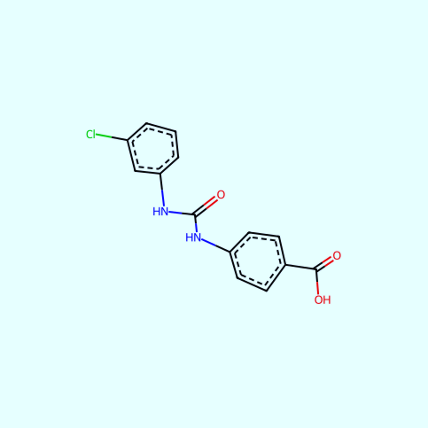 O=C(Nc1ccc(C(=O)O)cc1)Nc1cccc(Cl)c1